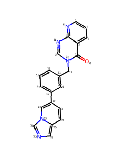 O=c1c2cccnc2ncn1Cc1cccc(-c2ccc3cncn3c2)c1